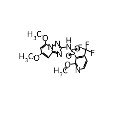 COc1cc(OC)n2nc(NS(=O)(=O)c3c(C(F)(F)F)ccnc3OC)nc2c1